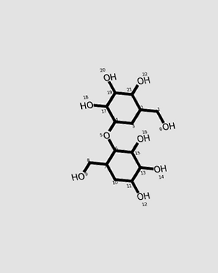 OCC1CC(OC2C(CO)CC(O)C(O)C2O)C(O)C(O)C1O